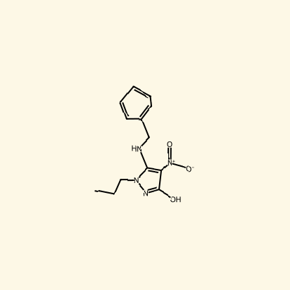 CCCn1nc(O)c([N+](=O)[O-])c1NCc1ccccc1